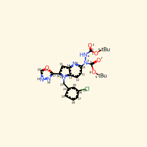 CC(C)(C)OC(=O)NN(C(=O)OC(C)(C)C)c1ccc2c(cc(-c3nnco3)n2Cc2cccc(Cl)c2)n1